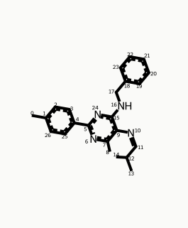 Cc1ccc(-c2nc(C)c(/N=C\C(C)C)c(NCc3ccccc3)n2)cc1